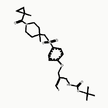 CC1(CS(=O)(=O)c2ccc(OC/C(=C/F)CNC(=O)OC(C)(C)C)cc2)CCN(C(=O)C2(C)CC2)CC1